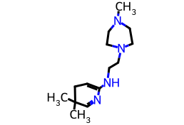 CN1CCN(CCNC2=CCC(C)(C)C=N2)CC1